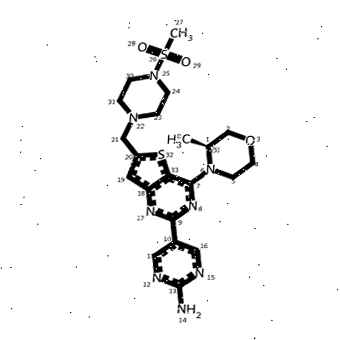 C[C@H]1COCCN1c1nc(-c2cnc(N)nc2)nc2cc(CN3CCN(S(C)(=O)=O)CC3)sc12